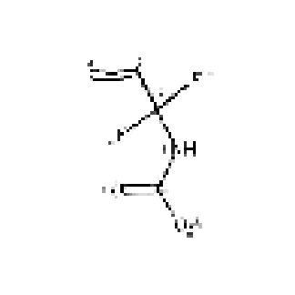 C=CC(F)(F)NC(=O)O